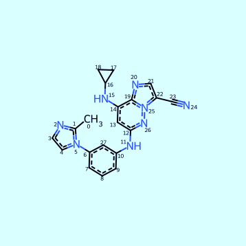 Cc1nccn1-c1cccc(Nc2cc(NC3CC3)c3ncc(C#N)n3n2)c1